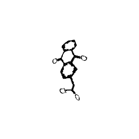 O=C(Cl)Cc1ccc2c(c1)C(=O)c1ccccc1C2=O